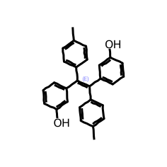 Cc1ccc(/C(=C(/c2ccc(C)cc2)c2cccc(O)c2)c2cccc(O)c2)cc1